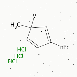 CCCC1=C[C](C)([V])C=C1.Cl.Cl.Cl